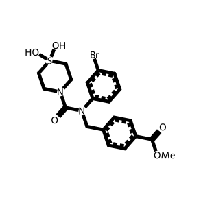 COC(=O)c1ccc(CN(C(=O)N2CCS(O)(O)CC2)c2cccc(Br)c2)cc1